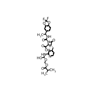 CC(C)C(=O)OCOC(O)Nc1cc(C[C@H]2C(=O)N(C(=O)NC(C)c3ccc4c(c3)OC(F)(F)O4)C2C(=O)O)ccn1